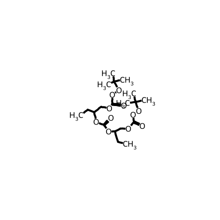 CCC(COC(=O)OOC(C)(C)C)OC(=O)OC(CC)COC(=O)OOC(C)(C)C